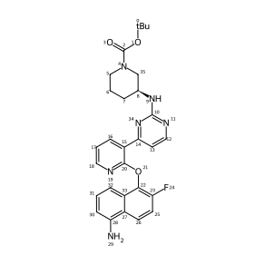 CC(C)(C)OC(=O)N1CCC[C@H](Nc2nccc(-c3cccnc3Oc3c(F)ccc4c(N)cccc34)n2)C1